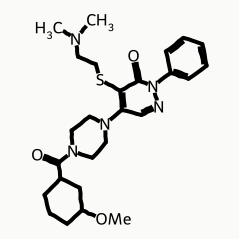 COC1CCCC(C(=O)N2CCN(c3cnn(-c4ccccc4)c(=O)c3SCCN(C)C)CC2)C1